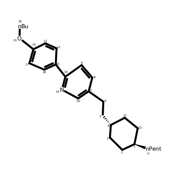 CCCCC[C@H]1CC[C@H](CCc2ccc(-c3ccc(OCCCC)cc3)nc2)CC1